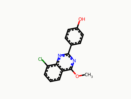 COc1nc(-c2ccc(O)cc2)nc2c(Cl)cccc12